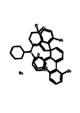 CC(C)c1cccc(C(C)C)c1C1=CC=CC(C=C2CC(Cl)(Cl)CCC2P(C2CCCCC2)C2CCCCC2)(c2c(C(C)C)cccc2C(C)C)C1=C1NCCN1.[Ru]